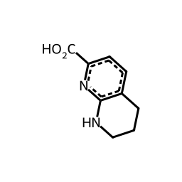 O=C(O)c1ccc2c(n1)NCCC2